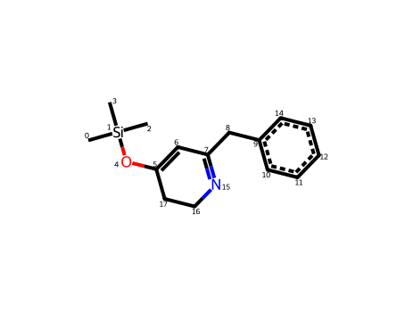 C[Si](C)(C)OC1=CC(Cc2ccccc2)=NCC1